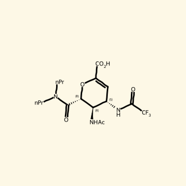 CCCN(CCC)C(=O)[C@@H]1OC(C(=O)O)=C[C@H](NC(=O)C(F)(F)F)[C@H]1NC(C)=O